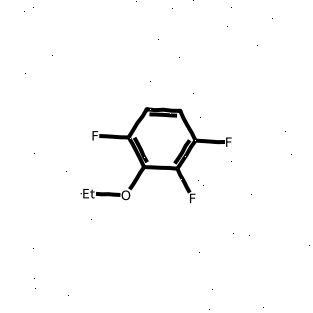 C[CH]Oc1c(F)ccc(F)c1F